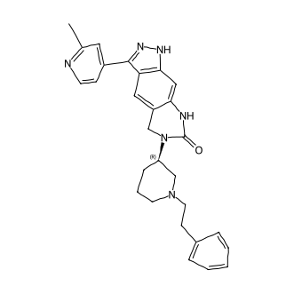 Cc1cc(-c2n[nH]c3cc4c(cc23)CN([C@@H]2CCCN(CCc3ccccc3)C2)C(=O)N4)ccn1